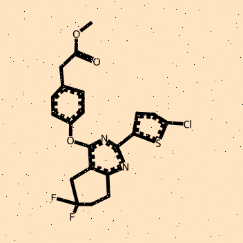 COC(=O)Cc1ccc(Oc2nc(-c3ccc(Cl)s3)nc3c2CC(F)(F)CC3)cc1